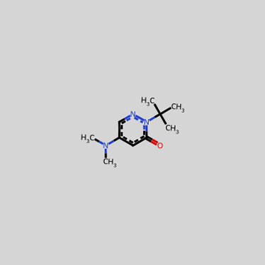 CN(C)c1cnn(C(C)(C)C)c(=O)c1